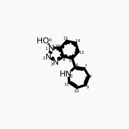 On1nnc2c(C3=CC=CC=CN3)cccc21